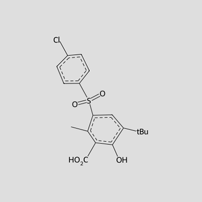 Cc1c(S(=O)(=O)c2ccc(Cl)cc2)cc(C(C)(C)C)c(O)c1C(=O)O